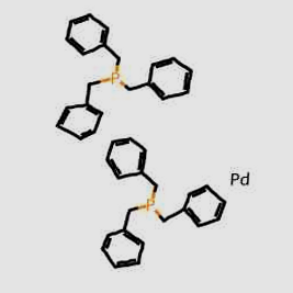 [Pd].c1ccc(CP(Cc2ccccc2)Cc2ccccc2)cc1.c1ccc(CP(Cc2ccccc2)Cc2ccccc2)cc1